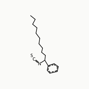 CCCCCCCCCCC(N=C=S)c1ccccc1